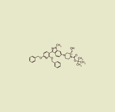 Cn1nc(-c2ccc(OCc3ccccc3)nc2OCc2ccccc2)c2ccc(N3CCN(C(=O)OC(C)(C)C)[C@H](CO)C3)cc21